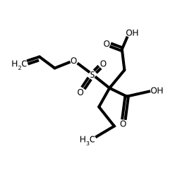 C=CCOS(=O)(=O)C(CCC)(CC(=O)O)C(=O)O